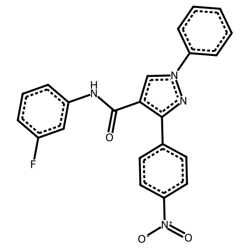 O=C(Nc1cccc(F)c1)c1cn(-c2ccccc2)nc1-c1ccc([N+](=O)[O-])cc1